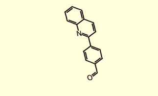 O=Cc1ccc(-c2ccc3ccccc3n2)cc1